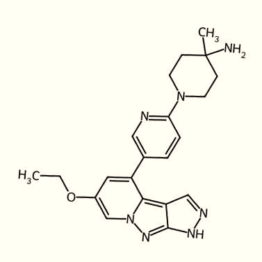 CCOc1cc(-c2ccc(N3CCC(C)(N)CC3)nc2)c2c3cn[nH]c3nn2c1